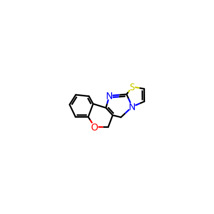 C1=CN2CC3=C(N=C2S1)c1ccccc1OC3